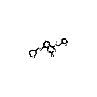 Clc1nc(NCc2ccco2)c2cccc(OCC3CCCOC3)c2n1